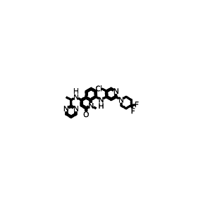 CC(Nc1cc(=O)n(C)c2c(Nc3cc(N4CCC(F)(F)CC4)ncc3Cl)cccc12)c1ncccn1